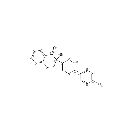 O=C1c2ccccc2CCC1(Br)C1CCC(c2ccc(Cl)cc2)CC1